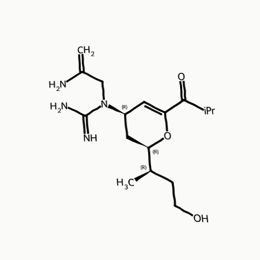 C=C(N)CN(C(=N)N)[C@H]1C=C(C(=O)C(C)C)O[C@@H]([C@H](C)CCO)C1